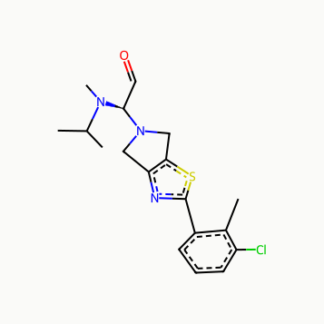 Cc1c(Cl)cccc1-c1nc2c(s1)CN([C@H](C=O)N(C)C(C)C)C2